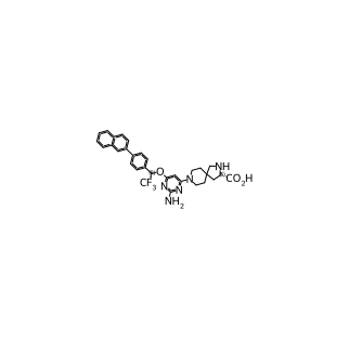 Nc1nc(O[C@H](c2ccc(-c3ccc4ccccc4c3)cc2)C(F)(F)F)cc(N2CCC3(CC2)CN[C@H](C(=O)O)C3)n1